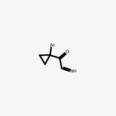 CC(=O)C1(C(=O)C=N)CC1